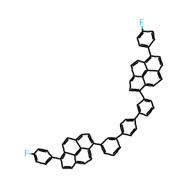 Fc1ccc(-c2ccc3ccc4c(-c5cccc(-c6ccc(-c7cccc(-c8ccc9ccc%10c(-c%11ccc(F)cc%11)ccc%11ccc8c9c%11%10)c7)cc6)c5)ccc5ccc2c3c54)cc1